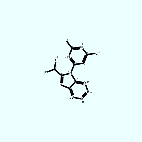 Cc1nc(Cl)cc(-n2c(C(F)F)nc3bbbbc32)n1